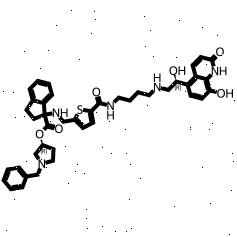 O=C(NCCCCNC[C@H](O)c1ccc(O)c2[nH]c(=O)ccc12)c1ccc(CNC2(C(=O)O[C@@H]3CCN(Cc4ccccc4)C3)CCc3ccccc32)s1